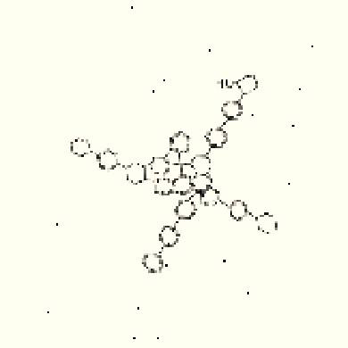 OC1CCCCC1c1ccc(-c2ccc(C3=CC(C4(c5cc(-c6ccc(-c7ccc(C8CCCCC8)cc7)cc6)cc6ccc(C7CCC(c8ccc(C9CCCCC9)cc8)CC7)cc56)c5ccccc5-c5ccccc54)c4cc(-c5ccc(-c6ccc(-c7ccccc7)cc6)cc5)ccc4C3)cc2)cc1